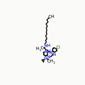 C#CCCCCCCCCCCCCCNC(=C)CCCn1c(CN2C(=C)N(C3CC3)C3=C2CNC=C3)nc2cc(Cl)ccc21